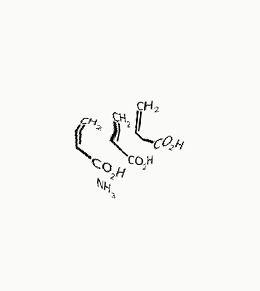 C=CC(=O)O.C=CC(=O)O.C=CC(=O)O.N